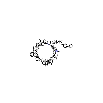 C/C=C(\C)[C@H]1OC(=O)[C@@H](C)NC(=O)[C@H]([C@H](C)CC)NC(=O)CN(C)C(=O)[C@@H](Cc2ccccc2)N(C)C(=O)[C@H](C)NC(=O)[C@@H](CC(C)C)OC(=O)/C(C)=C/C[C@H](CC(=O)N(C)CCN(C)Cc2ccc(C=O)cc2)[C@@H]1C